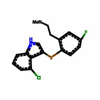 CNCCc1cc(F)ccc1Sc1c[nH]c2cccc(Cl)c12